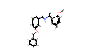 COc1ccc(F)cc1C(C)N=Cc1cccc(OCc2ccccc2)c1